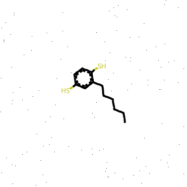 CCCCCCc1cc(S)ccc1S